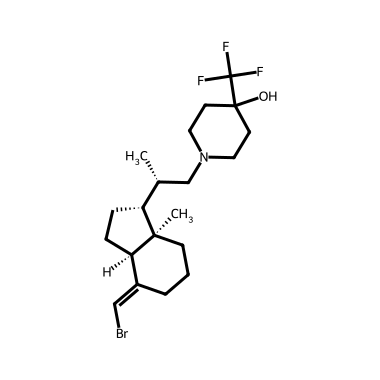 C[C@H](CN1CCC(O)(C(F)(F)F)CC1)[C@H]1CC[C@@H]2/C(=C/Br)CCC[C@@]21C